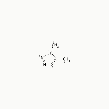 CB1N=NC=C1C